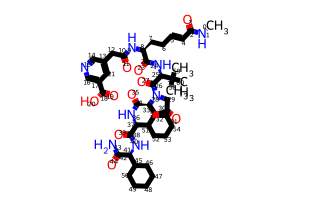 CNC(=O)/C=C/CC[C@H](NC(=O)Cc1cncc(C(=O)O)c1)C(=O)N[C@H](C(=O)N1CC(=O)C[C@H]1C(=O)N[C@H](C(=O)N[C@H](C(N)=O)C1CCCCC1)C1CCCCC1)C(C)(C)C